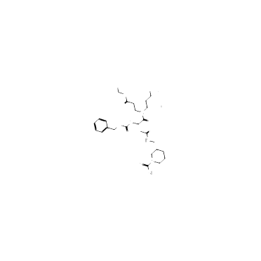 CCCCN(CCC(=O)OCC)C(=O)[C@H](CC(=O)NC[C@@H]1CCCN(C(=N)N)C1)NC(=O)OCc1ccccc1.Cl